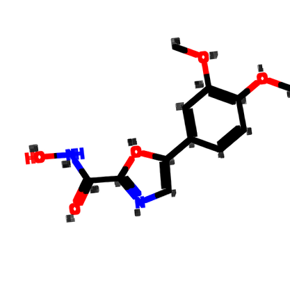 COc1ccc(-c2cnc(C(=O)NO)o2)cc1OC